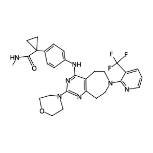 CNC(=O)C1(c2ccc(Nc3nc(N4CCOCC4)nc4c3CCN(c3ncccc3C(F)(F)F)CC4)cc2)CC1